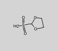 O=S(=O)(O)C1O[CH]CO1